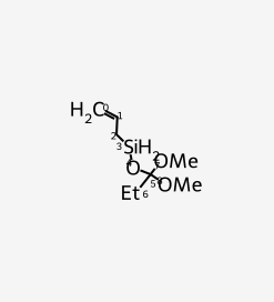 C=CC[SiH2]OC(CC)(OC)OC